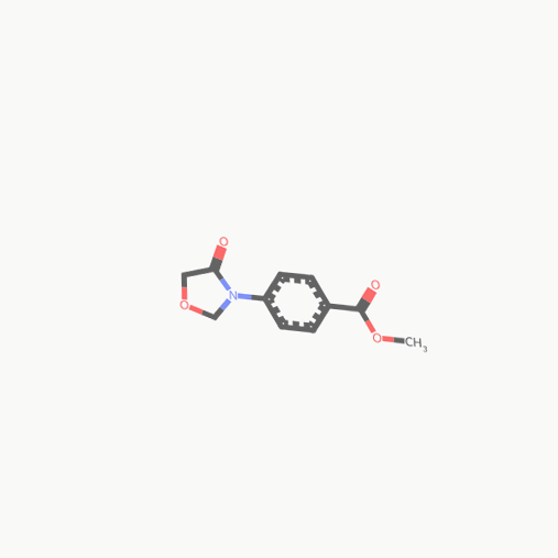 COC(=O)c1ccc(N2COCC2=O)cc1